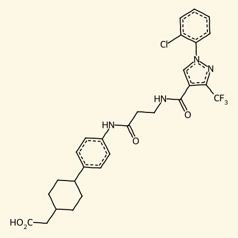 O=C(O)CC1CCC(c2ccc(NC(=O)CCNC(=O)c3cn(-c4ccccc4Cl)nc3C(F)(F)F)cc2)CC1